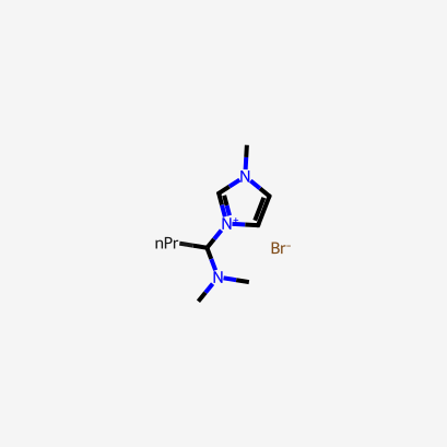 CCCC(N(C)C)[n+]1ccn(C)c1.[Br-]